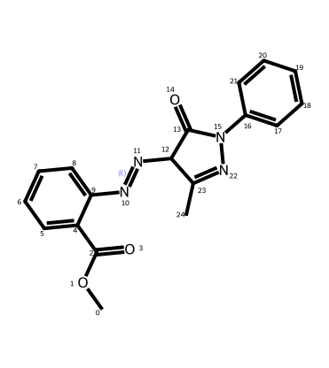 COC(=O)c1ccccc1/N=N/C1C(=O)N(c2ccccc2)N=C1C